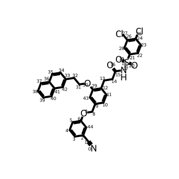 N#Cc1cccc(OCc2ccc(CCC(=O)NS(=O)(=O)c3ccc(Cl)c(Cl)c3)c(OCCc3ccc4ccccc4c3)c2)c1